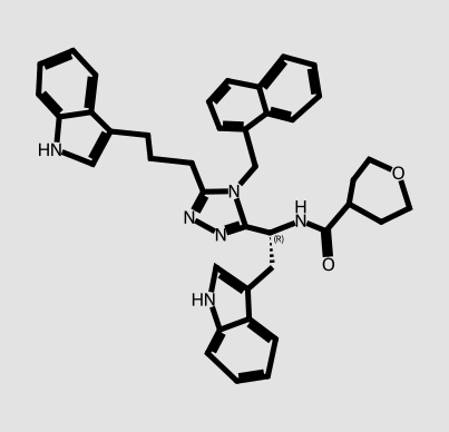 O=C(N[C@H](Cc1c[nH]c2ccccc12)c1nnc(CCCc2c[nH]c3ccccc23)n1Cc1cccc2ccccc12)C1CCOCC1